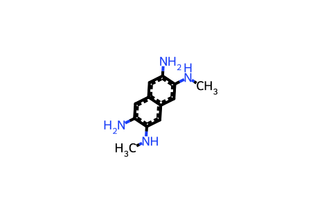 CNc1cc2cc(NC)c(N)cc2cc1N